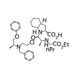 CCC[C@H](N[C@@H](C)C(=O)N1[C@H](C(=O)O)C[C@@H]2CCCC[C@@H]21)C(=O)OCC.C[C@@H](COc1ccccc1)N(CCCl)Cc1ccccc1